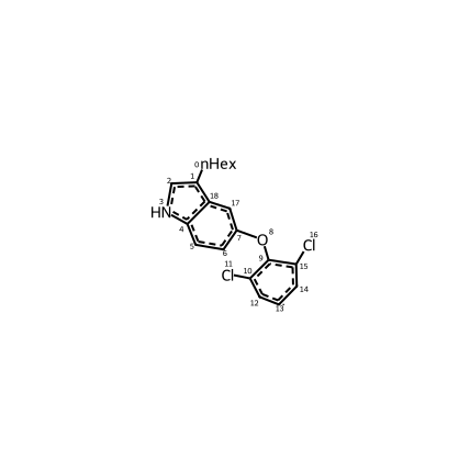 CCCCCCc1c[nH]c2ccc(Oc3c(Cl)c[c]cc3Cl)cc12